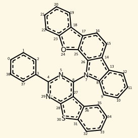 c1ccc(-c2nc(-n3c4ccccc4c4ccc5c6ccccc6oc5c43)c3c(n2)sc2ccccc23)cc1